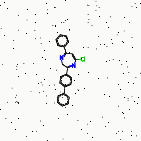 ClC1=CC(c2ccccc2)=NCC(c2ccc(-c3ccccc3)cc2)=N1